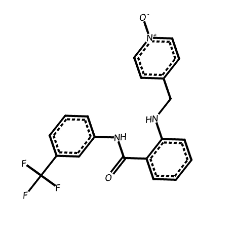 O=C(Nc1cccc(C(F)(F)F)c1)c1ccccc1NCc1cc[n+]([O-])cc1